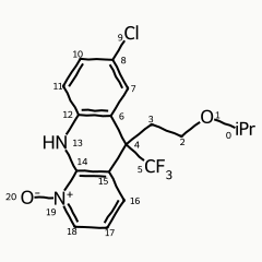 CC(C)OCCC1(C(F)(F)F)c2cc(Cl)ccc2Nc2c1ccc[n+]2[O-]